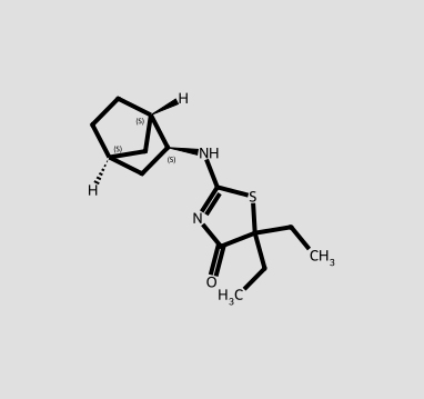 CCC1(CC)SC(N[C@H]2C[C@H]3CC[C@H]2C3)=NC1=O